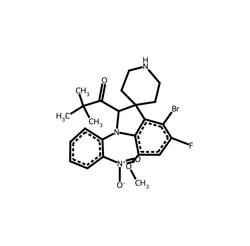 COc1cc(F)c(Br)c2c1N(c1ccccc1[N+](=O)[O-])C(C(=O)C(C)(C)C)C21CCNCC1